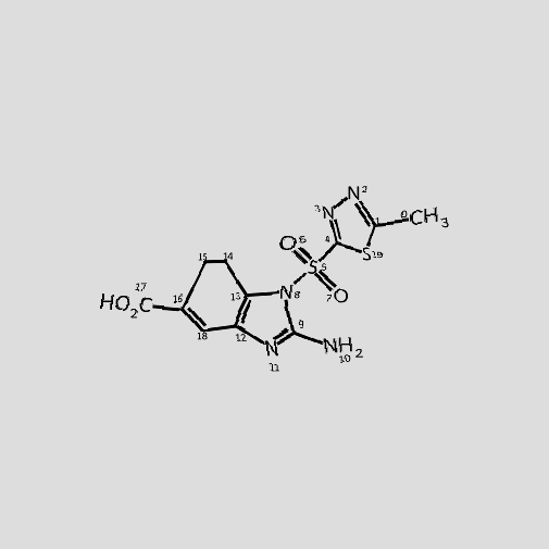 Cc1nnc(S(=O)(=O)n2c(N)nc3c2CCC(C(=O)O)=C3)s1